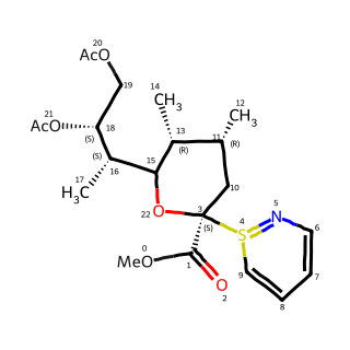 COC(=O)[C@@]1(S2=NC=CC=C2)C[C@@H](C)[C@@H](C)C([C@H](C)[C@@H](COC(C)=O)OC(C)=O)O1